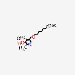 CCCCCCCCCCCCCCCCOCc1cnc(C)c(O)c1C=O